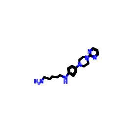 NCCCCCNc1ccc(N2CCN(c3ncccn3)CC2)cc1